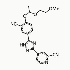 COCCOC(C)Oc1ccc(-c2nc(-c3ccnc(C#N)c3)n[nH]2)cc1C#N